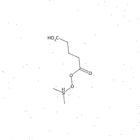 C[SiH](C)OOC(=O)CCCC(=O)O